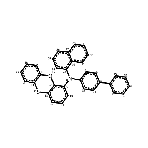 c1ccc(-c2ccc(N(c3cccc4c3Oc3ccccc3S4)c3cccc4ccccc34)cc2)cc1